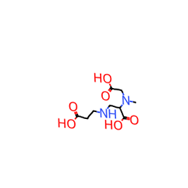 CN(CC(=O)O)C(CNCCC(=O)O)C(=O)O